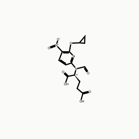 O=CN(c1ccc([N+](=O)[O-])c(OC2CC2)n1)[C@@H](CCC(=O)O)C(=O)O